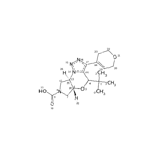 CC(C)(C)C1O[C@@H]2CN(C(=O)O)C[C@H]2n2nnc(C3=CCOCC3)c21